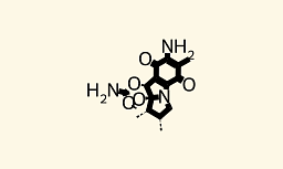 CO[C@@]12[C@H](OC(N)=O)C3=C(C(=O)C(C)=C(N)C3=O)N1C[C@H](C)[C@@H]2C